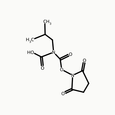 CC(C)CN(C(=O)O)C(=O)ON1C(=O)CCC1=O